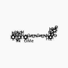 COc1cc(NC2=Cc3nccn3C(N[C@H]3CCCC[C@H]3N)N2C(N)=O)cc(OCCOCCOCCOCCNc2cccc3c2C(=O)N(C2CCC(=O)NC2=O)C3=O)c1